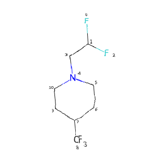 FC(F)CN1CCC(C(F)(F)F)CC1